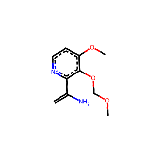 C=C(N)c1nccc(OC)c1OCOC